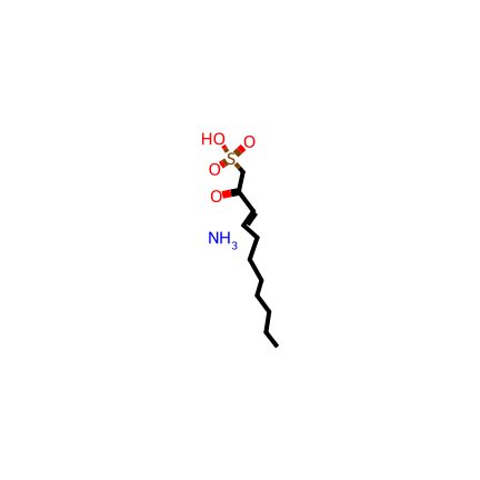 CCCCCCCC=CC(=O)CS(=O)(=O)O.N